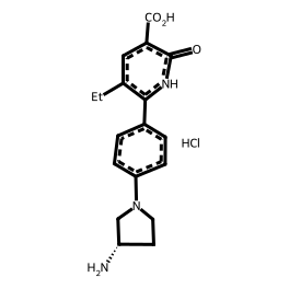 CCc1cc(C(=O)O)c(=O)[nH]c1-c1ccc(N2CC[C@H](N)C2)cc1.Cl